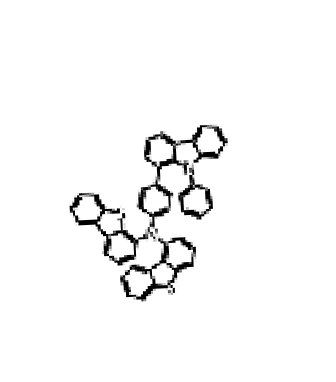 c1ccc(-n2c3ccccc3c3cccc(-c4ccc(N(c5cccc6c5sc5ccccc56)c5cccc6sc7ccccc7c56)cc4)c32)cc1